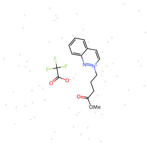 COC(=O)CCC[n+]1ccc2ccccc2n1.O=C([O-])C(F)(F)F